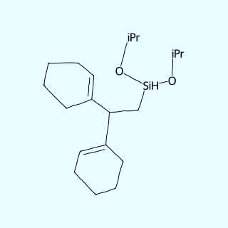 CC(C)O[SiH](CC(C1=CCCCC1)C1=CCCCC1)OC(C)C